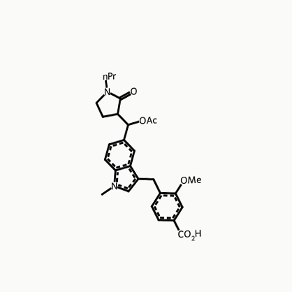 CCCN1CCC(C(OC(C)=O)c2ccc3c(c2)c(Cc2ccc(C(=O)O)cc2OC)cn3C)C1=O